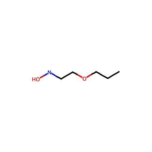 CCCOCC[N]O